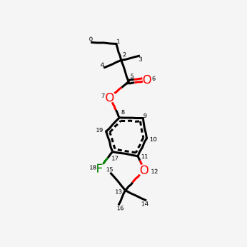 CCC(C)(C)C(=O)Oc1ccc(OC(C)(C)C)c(F)c1